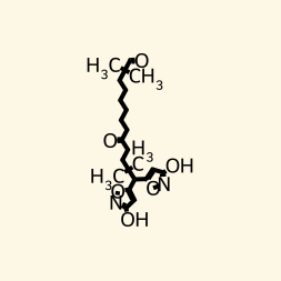 CC(C)(C=O)CCCCCCC(=O)CCC(C)(C)C(c1cc(O)no1)c1cc(O)no1